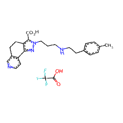 Cc1ccc(CCNCCCn2nc3c(c2C(=O)O)CCc2cnccc2-3)cc1.O=C(O)C(F)(F)F